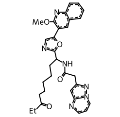 CCC(=O)CCCCCC(NC(=O)Cc1cc2ncccn2n1)c1ncc(-c2cc3ccccc3nc2OC)o1